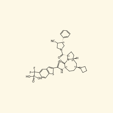 N#CC1CN(C(=O)[C@@H]2CC[C@@H]3C[C@@H](N4CCC4)CC[C@H](NC(=O)c4cc5cc(C(F)(F)P(=O)(O)O)ccc5s4)C(=O)N32)C[C@H]1c1ccccc1